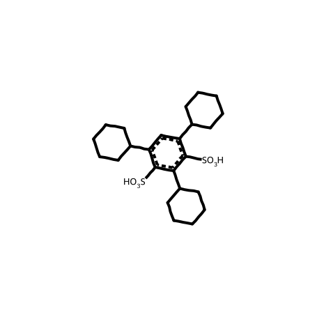 O=S(=O)(O)c1c(C2CCCCC2)cc(C2CCCCC2)c(S(=O)(=O)O)c1C1CCCCC1